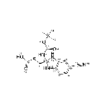 CC(C)(C)OC(=O)N[C@@]1(CCC(=O)O)Nc2ccc(C#N)cc2N1